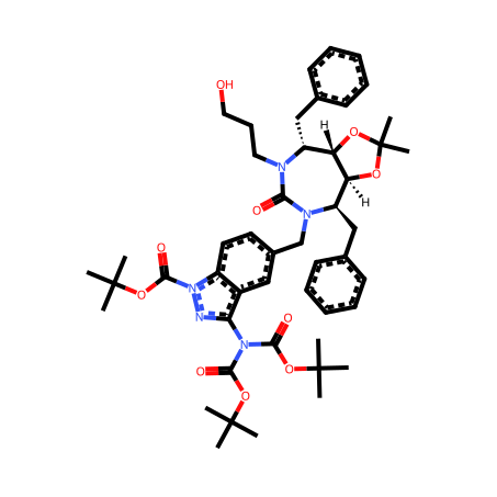 CC(C)(C)OC(=O)N(C(=O)OC(C)(C)C)c1nn(C(=O)OC(C)(C)C)c2ccc(CN3C(=O)N(CCCO)[C@H](Cc4ccccc4)[C@@H]4OC(C)(C)O[C@H]4[C@H]3Cc3ccccc3)cc12